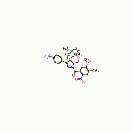 COc1cc(C(=O)N2C=C(c3ccc(N)cc3)C[C@H]2CO[Si](C)(C)C(C)(C)C)c([N+](=O)[O-])cc1C